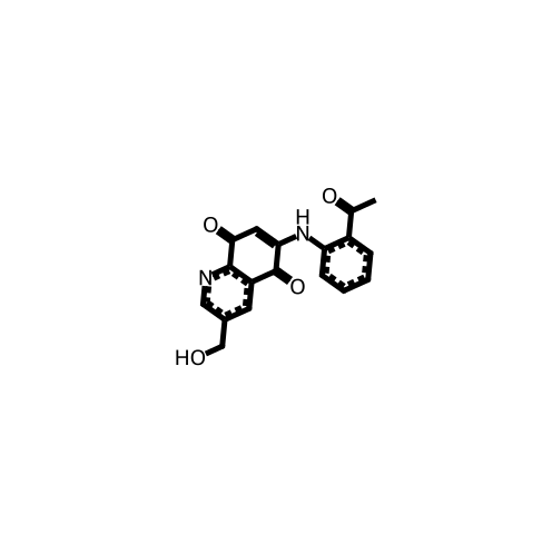 CC(=O)c1ccccc1NC1=CC(=O)c2ncc(CO)cc2C1=O